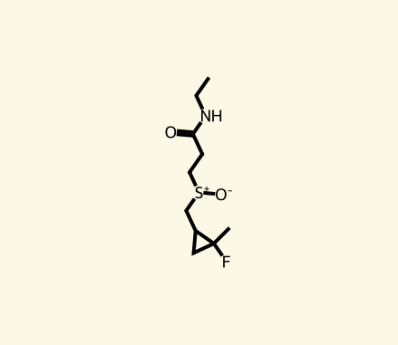 CCNC(=O)CC[S+]([O-])CC1CC1(C)F